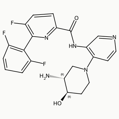 N[C@@H]1CN(c2ccncc2NC(=O)c2ccc(F)c(-c3c(F)cccc3F)n2)CC[C@H]1O